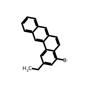 [B]c1cc(CC)cc2c1ccc1cc3ccccc3cc12